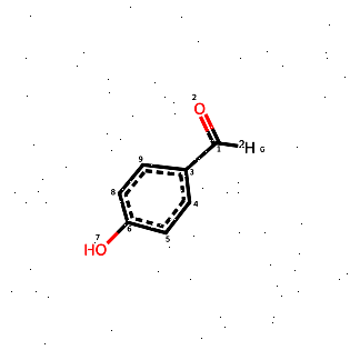 [2H]C(=O)c1ccc(O)cc1